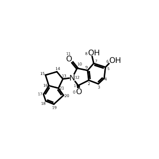 O=C1c2ccc(O)c(O)c2C(=O)N1C1CCc2ccccc21